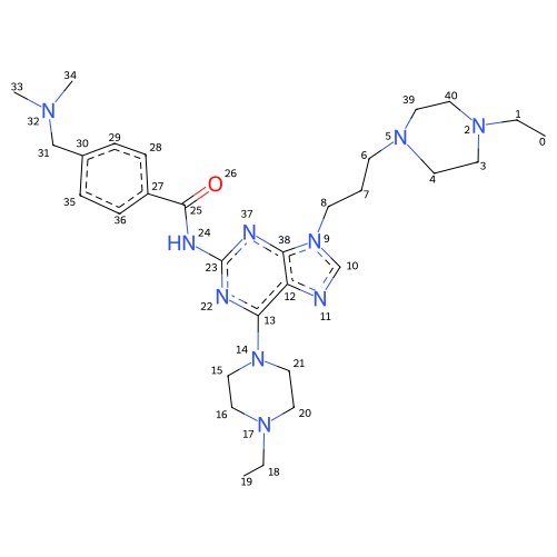 CCN1CCN(CCCn2cnc3c(N4CCN(CC)CC4)nc(NC(=O)c4ccc(CN(C)C)cc4)nc32)CC1